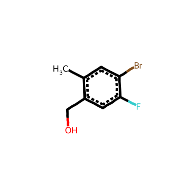 Cc1cc(Br)c(F)cc1CO